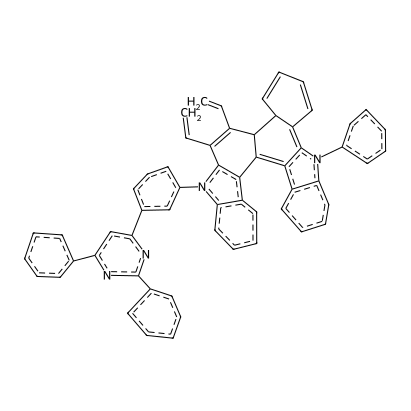 C=CC1=C(C=C)C2C(=c3c(n(-c4ccccc4)c4ccccc34)=C3C=CC=CC32)c2c1n(-c1cccc(-c3cc(-c4ccccc4)nc(-c4ccccc4)n3)c1)c1ccccc21